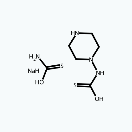 NC(O)=S.OC(=S)NN1CCNCC1.[NaH]